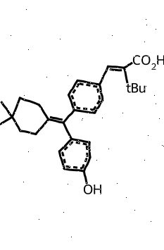 CC1(C)CCC(=C(c2ccc(O)cc2)c2ccc(C=C(C(=O)O)C(C)(C)C)cc2)CC1